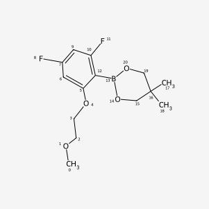 COCCOc1cc(F)cc(F)c1B1OCC(C)(C)CO1